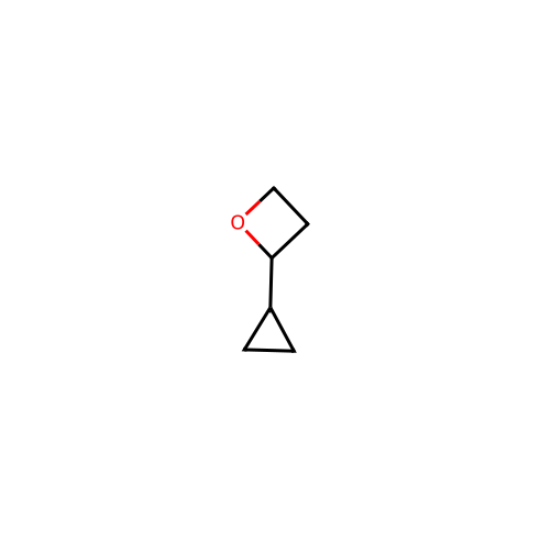 C1CC([C]2CC2)O1